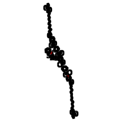 C=CC(=O)OCCCCCCCCCCCCCCOc1ccc(OC(=O)[C@H]2CC[C@@H](C(=O)Oc3ccc(OC(=O)[C@H]4CC[C@H](C(=O)Oc5ccc(OCCCCCCCCCCCCOC(=O)C=C)cc5)CC4)c(/C=N/N(C)c4nc5ccccc5s4)c3)CC2)cc1